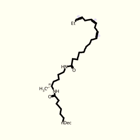 CC/C=C\C/C=C\C/C=C\CCCCCCCC(=O)NCCCC[C@@H](C)NC(=O)CCCCCCCCCCCCCCC